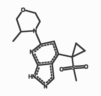 CC1COCCN1c1cc(C2(S(C)(=O)=O)CC2)c2cn[nH]c2n1